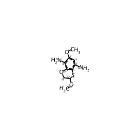 COc1cc(N)c2c(c1N)OCC(OC)S2